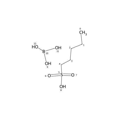 CCCCCS(=O)(=O)O.OB(O)O